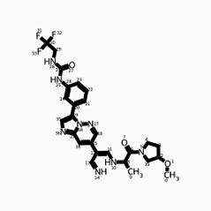 COC1CCN(C(=O)C(C)N/C=C(\C=N)c2cnn3c(-c4cccc(NC(=O)NCC(F)(F)F)c4)cnc3c2)C1